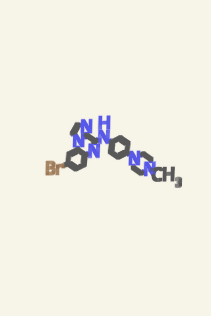 CN1CCN(c2ccc(Nc3nc4ccc(Br)cc4n4ccnc34)cc2)CC1